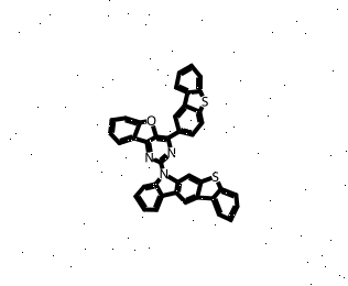 c1ccc2c(c1)oc1c(-c3ccc4sc5ccccc5c4c3)nc(-n3c4ccccc4c4cc5c(cc43)sc3ccccc35)nc12